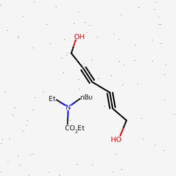 CCCCN(CC)C(=O)OCC.OCC#CC#CCO